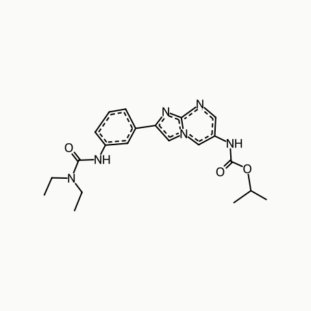 CCN(CC)C(=O)Nc1cccc(-c2cn3cc(NC(=O)OC(C)C)cnc3n2)c1